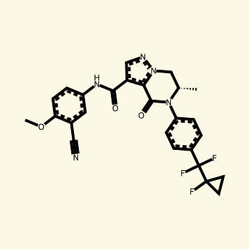 COc1ccc(NC(=O)c2cnn3c2C(=O)N(c2ccc(C(F)(F)C4(F)CC4)cc2)[C@@H](C)C3)cc1C#N